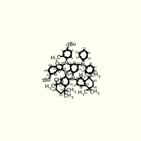 Cc1cc(C(C)(C)C)ccc1N1c2cc(N(c3ccccc3)c3ccccc3)cc3c2B(c2cc4c(cc2N3c2ccc3c(c2)C(C)(C)CCC3(C)C)C(C)(C)CCC4(C)C)c2c1oc1ccc(C(C)(C)C)cc21